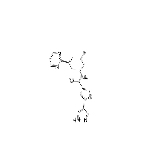 O=C(NC1CC(F)CC(c2ncccn2)C1)c1csc(-c2cn[nH]c2)c1